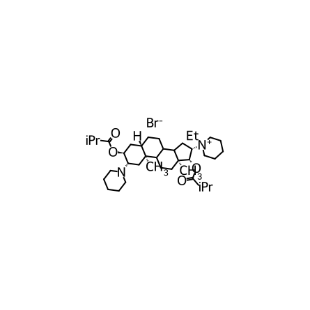 CC[N+]1([C@H]2CC3C4CC[C@H]5C[C@H](OC(=O)C(C)C)[C@@H](N6CCCCC6)C[C@]5(C)C4CC[C@]3(C)[C@H]2OC(=O)C(C)C)CCCCC1.[Br-]